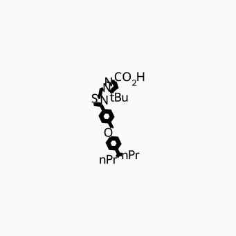 CCCC(CCC)c1ccc(OCc2ccc(-c3csc(Cn4nc(C(=O)O)cc4C(C)(C)C)n3)cc2)cc1